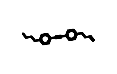 C=CCCc1ccc(C#Cc2ccc(CCCC)cc2)cc1